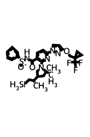 CC(C[SiH3])C1CN(c2nc(-n3ccc(OCC4(C(F)(F)F)CC4)n3)ccc2C(=O)N[S+]([O-])c2ccccc2)C(C)(C)C1